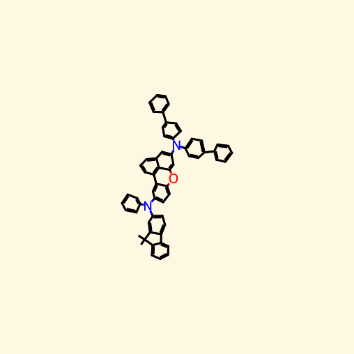 CC1(C)c2ccccc2-c2ccc(N(c3ccccc3)c3ccc4c(c3)-c3cccc5cc(N(c6ccc(-c7ccccc7)cc6)c6ccc(-c7ccccc7)cc6)cc(c35)O4)cc21